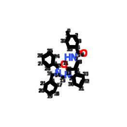 Cc1ccc(C(=O)N/C=C2\C(=O)N(CN(Cc3ccccc3)Cc3ccccc3)c3ccccc32)cc1